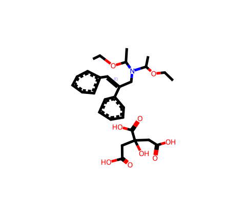 CCOC(C)N(C/C(=C/c1ccccc1)c1ccccc1)C(C)OCC.O=C(O)CC(O)(CC(=O)O)C(=O)O